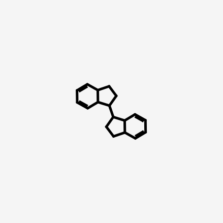 C1=CC2CCC(C3CCC4C=CC=CC43)C2C=C1